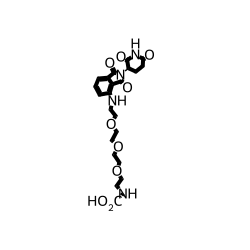 O=C(O)NCCOCCOCCOCCNc1cccc2c1C(=O)N([C@H]1CCC(=O)NC1=O)C2=O